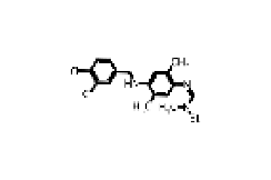 CCN(C)/C=N\c1cc(C)c(NCc2ccc(Cl)c(Cl)c2)cc1C